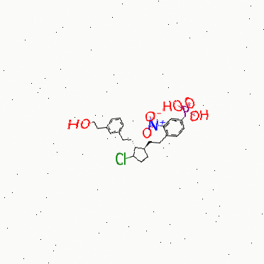 O=[N+]([O-])c1cc(P(=O)(O)O)ccc1CC[C@H]1CCC(Cl)[C@@H]1CCc1cccc(CCO)c1